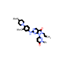 C=CCn1c(=O)c2cnc(Nc3ccc(N4CCC(NC)CC4)c(OC)c3)nc2n1-c1ccc(=O)n(C(C)C)n1